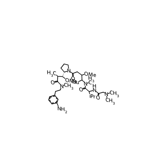 CCC(C)C(C(CC(=O)N1CCC[C@H]1C(OC)C(C)C(=O)N(C)CCc1cccc(N)c1)OC)N(C)C(=O)C(NC(=O)CN(C)C)C(C)C